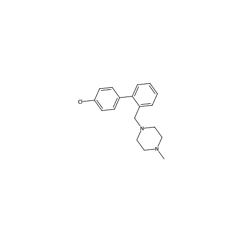 CN1CCN(Cc2ccccc2-c2ccc(Cl)cc2)CC1